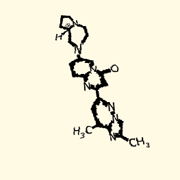 Cc1cn2nc(-c3cc(=O)n4cc(N5CCN6CCC[C@H]6C5)ccc4n3)cc(C)c2n1